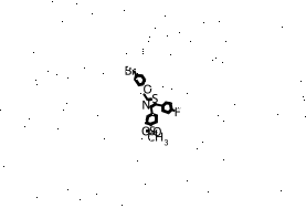 CS(=O)(=O)c1ccc(-c2nc(COc3ccc(Br)cc3)sc2-c2ccc(F)cc2)cc1